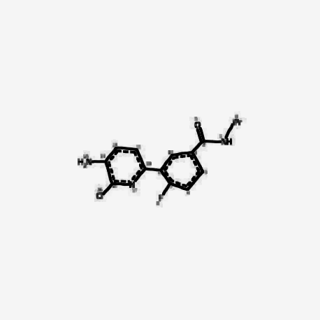 CC(C)NC(=O)c1ccc(F)c(-c2ccc(N)c(Cl)n2)c1